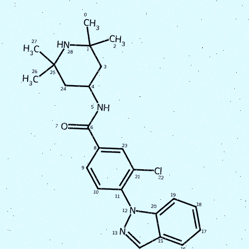 CC1(C)CC(NC(=O)c2ccc(-n3ncc4ccccc43)c(Cl)c2)CC(C)(C)N1